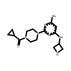 CC(C)(C)c1cc(NC2CNC2)nc(N2CCN(C(=O)C3CC3)CC2)n1